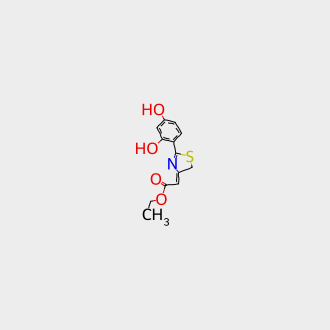 CCOC(=O)/C=C1/CSC(c2ccc(O)cc2O)=N1